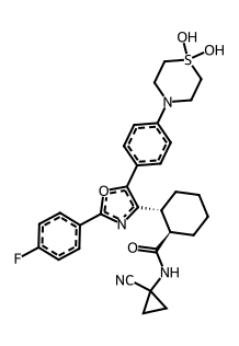 N#CC1(NC(=O)[C@@H]2CCCC[C@H]2c2nc(-c3ccc(F)cc3)oc2-c2ccc(N3CCS(O)(O)CC3)cc2)CC1